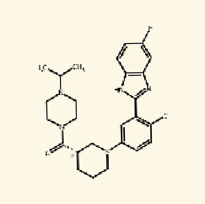 CC(C)N1CCN(C(=O)[C@H]2CCCN(c3ccc(Cl)c(-c4nc5cc(F)ccc5[nH]4)c3)C2)CC1